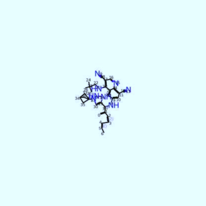 C=C(/C=C\C=C/C)[C@H](Nc1cc(C#N)c2ncc(C#N)c(NCC(C)(C)C)c2c1)C1=CN(C23CC(C2)C3)NN1